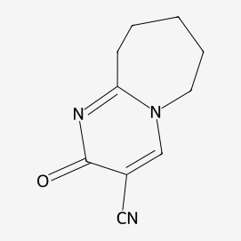 N#Cc1cn2c(nc1=O)CCCCC2